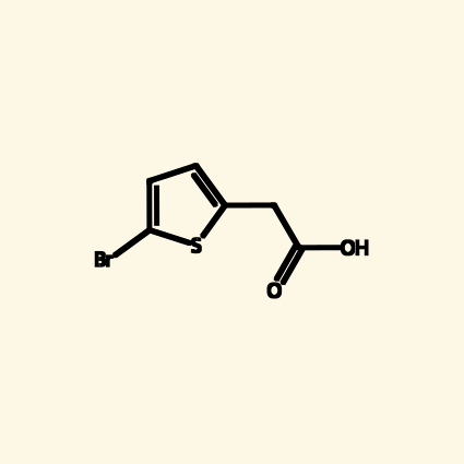 O=C(O)Cc1ccc(Br)s1